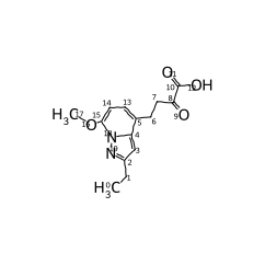 CCc1cc2c(CCC(=O)C(=O)O)ccc(OC)n2n1